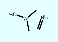 C=N.C[As](C)O